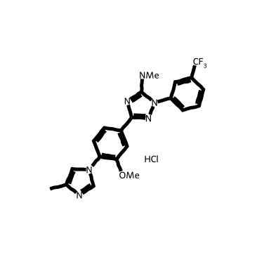 CNc1nc(-c2ccc(-n3cnc(C)c3)c(OC)c2)nn1-c1cccc(C(F)(F)F)c1.Cl